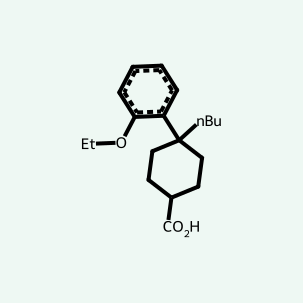 CCCCC1(c2ccccc2OCC)CCC(C(=O)O)CC1